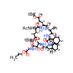 C=CCOC(=O)CNC(=O)C(=O)C(CCC)NC(=O)[C@@H]1C[C@@H]2CCCC[C@@H]2N1C(=O)[C@@H](NC(=O)[C@@H](NC(=O)[C@H](CCC(=O)OC(C)(C)C)NC(=O)[C@H](CCC(=O)OC(C)(C)C)NC(C)=O)C(C)C)C1CCCCC1